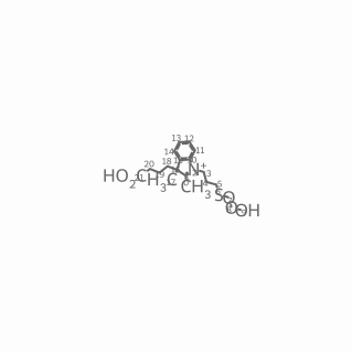 CC1=[N+](CCCSOOO)c2ccccc2C1(C)CCCC(=O)O